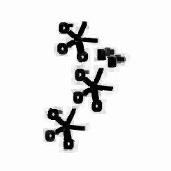 CS(C)(=O)([O-])[O-].CS(C)(=O)([O-])[O-].CS(C)(=O)([O-])[O-].[B+3].[B+3]